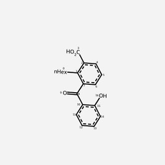 CCCCCCc1c(C(=O)O)cccc1C(=O)c1ccccc1O